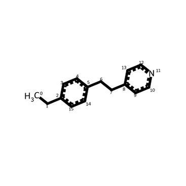 CCc1ccc(CCc2ccncc2)cc1